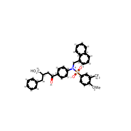 COc1ccc(S(=O)(=O)N(Cc2cccc3ccccc23)c2ccc(C(=O)CC(Cc3ccccc3)C(=O)O)cc2)cc1C(F)(F)F